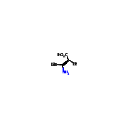 CCC(C(=O)O)=C(N)C(C)(C)C